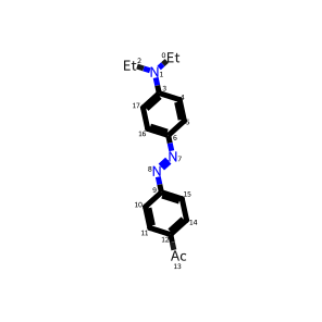 CCN(CC)c1ccc(N=Nc2ccc(C(C)=O)cc2)cc1